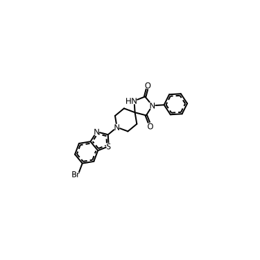 O=C1NC2(CCN(c3nc4ccc(Br)cc4s3)CC2)C(=O)N1c1ccccc1